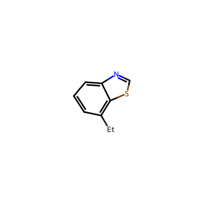 [CH2]Cc1cccc2ncsc12